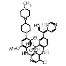 CCc1cc(Nc2ncc(Cl)c(Nc3ccc(/C(C=N)=C4\C=CN=CN4)cc3P(C)(C)=O)n2)c(OC)cc1N1CCC(N2CCN(C)CC2)CC1